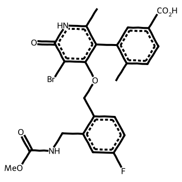 COC(=O)NCc1cc(F)ccc1COc1c(-c2cc(C(=O)O)ccc2C)c(C)[nH]c(=O)c1Br